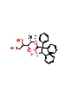 CC(c1ccccc1)C(C(=O)O[C@@H](C=O)[C@@H](O)[C@H](O)CO)(c1ccccc1)c1ccccc1